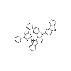 c1ccc(-c2nc(-c3ccccc3)nc(-n3c4ccccc4c4ccc5c(c6ccccc6n5-c5ccc6sc7ccccc7c6c5)c43)n2)cc1